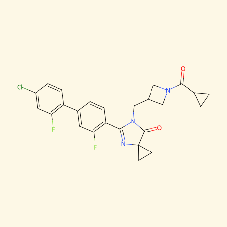 O=C(C1CC1)N1CC(CN2C(=O)C3(CC3)N=C2c2ccc(-c3ccc(Cl)cc3F)cc2F)C1